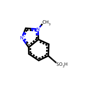 Cn1cnc2ccc(S(=O)(=O)O)cc21